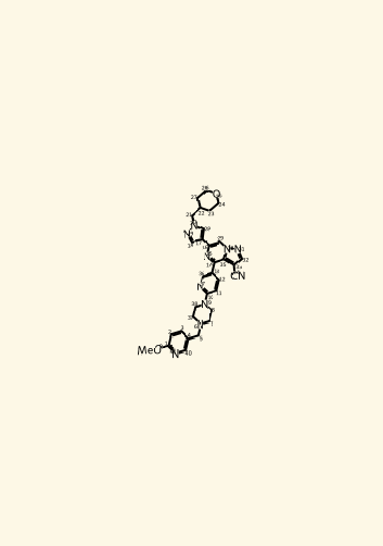 COc1ccc(CN2CCN(c3ccc(-c4nc(-c5cnn(CC6CCOCC6)c5)cn5ncc(C#N)c45)cn3)CC2)cn1